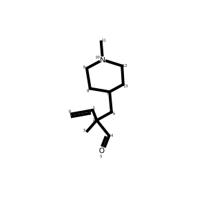 C=CC(C)(C=O)CC1CCN(C)CC1